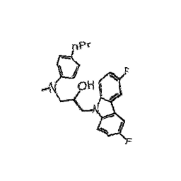 CCCc1ccc(N(C)CC(O)Cn2c3ccc(F)cc3c3cc(F)ccc32)cc1